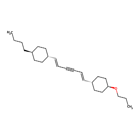 CCCC[C@H]1CC[C@H](C=CC#CC=C[C@H]2CC[C@H](OCCC)CC2)CC1